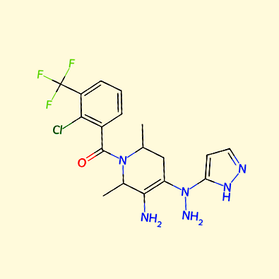 CC1CC(N(N)c2ccn[nH]2)=C(N)C(C)N1C(=O)c1cccc(C(F)(F)F)c1Cl